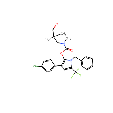 CN(CC(C)(C)CO)C(=O)Oc1c(-c2ccc(Cl)cc2)cc(C(F)(F)F)n1Cc1ccccc1